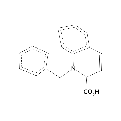 O=C(O)C1C=Cc2ccccc2N1Cc1ccccc1